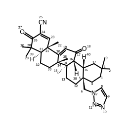 CC1(C)CC[C@]2(Cn3ccnn3)CC[C@]3(C)[C@H](C(=O)C=C4[C@@]5(C)C=C(C#N)C(=O)C(C)(C)[C@@H]5CC[C@]43C)[C@@H]2C1